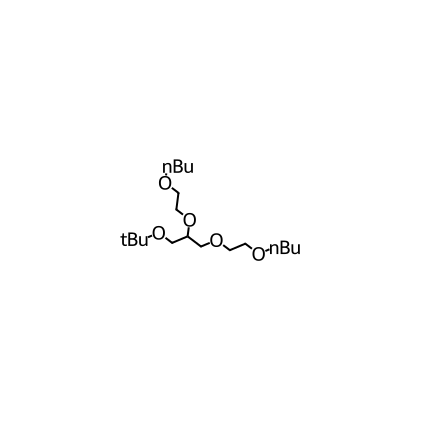 CCCCOCCOCC(COC(C)(C)C)OCCOCCCC